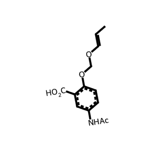 C/C=C/OCOc1ccc(NC(C)=O)cc1C(=O)O